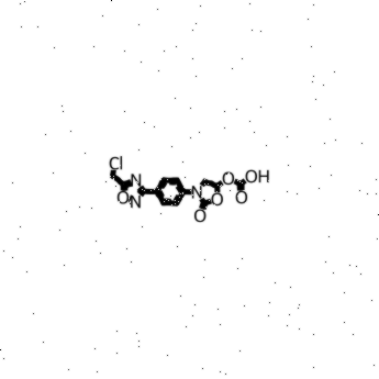 O=C(O)OC1CN(c2ccc(-c3noc(CCl)n3)cc2)C(=O)O1